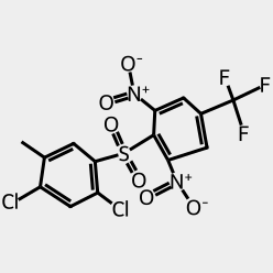 Cc1cc(S(=O)(=O)c2c([N+](=O)[O-])cc(C(F)(F)F)cc2[N+](=O)[O-])c(Cl)cc1Cl